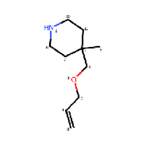 C=CCOCC1(C)CCNCC1